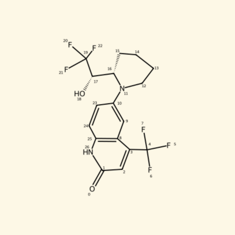 O=c1cc(C(F)(F)F)c2cc(N3CCCC[C@H]3[C@H](O)C(F)(F)F)ccc2[nH]1